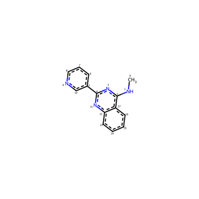 CNc1nc(-c2cccnc2)nc2cc[c]cc12